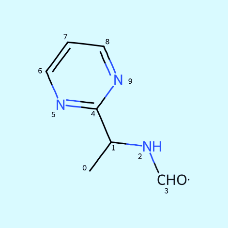 CC(N[C]=O)c1ncccn1